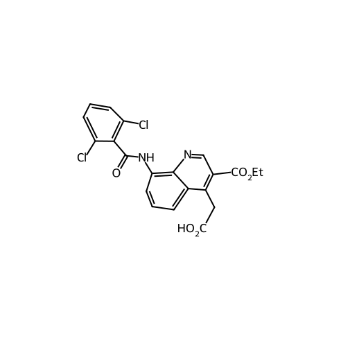 CCOC(=O)c1cnc2c(NC(=O)c3c(Cl)cccc3Cl)cccc2c1CC(=O)O